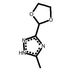 Cc1nc(C2OCCO2)n[nH]1